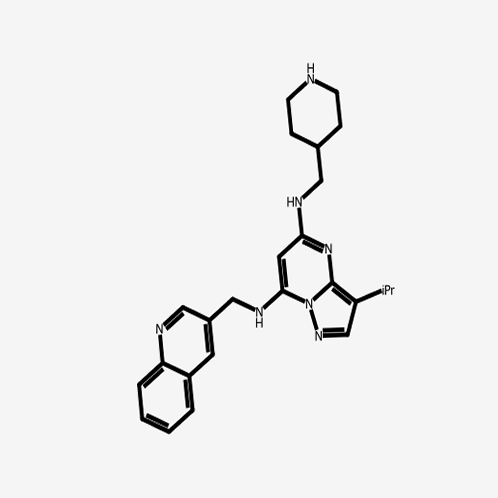 CC(C)c1cnn2c(NCc3cnc4ccccc4c3)cc(NCC3CCNCC3)nc12